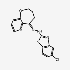 Clc1ccc2sc(N/N=C3\CCCOc4cccnc43)nc2c1